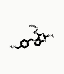 CCCCONc1nc(N)nc2ccn(Cc3ccc(CN)cc3)c12